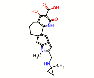 Cn1c(CNC2(C)CC2)cc2cc3c(cc21)CCCc1c-3[nH]c(=O)c(C(=O)O)c1O